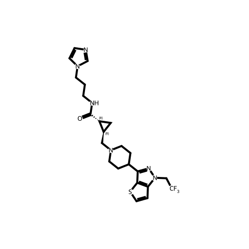 O=C(NCCCn1ccnc1)[C@@H]1C[C@H]1CN1CCC(c2nn(CC(F)(F)F)c3ccsc23)CC1